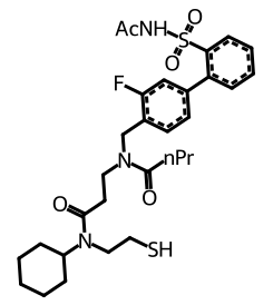 CCCC(=O)N(CCC(=O)N(CCS)C1CCCCC1)Cc1ccc(-c2ccccc2S(=O)(=O)NC(C)=O)cc1F